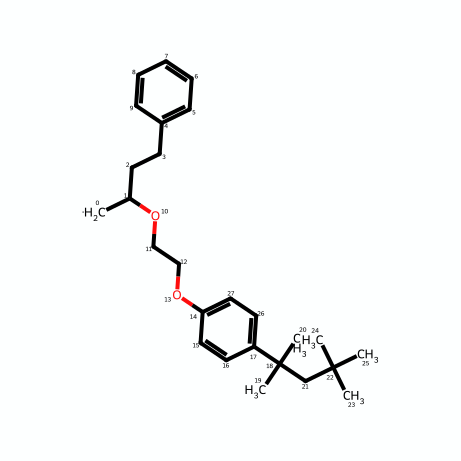 [CH2]C(CCc1ccccc1)OCCOc1ccc(C(C)(C)CC(C)(C)C)cc1